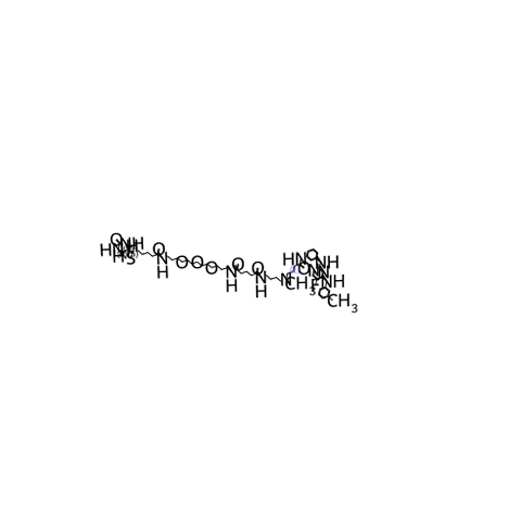 Cc1cccc(Nc2nc(Nc3cccc(NC(=O)/C=C/CN(C)CCCCNC(=O)CCCC(=O)NCCCOCCOCCOCCCNC(=O)CCCC[C@@H]4SC[C@@H]5NC(=O)N[C@@H]54)c3)ncc2F)c1